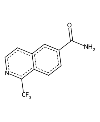 NC(=O)c1ccc2c(C(F)(F)F)nccc2c1